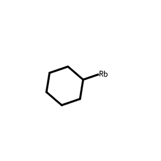 [Rb][CH]1CCCCC1